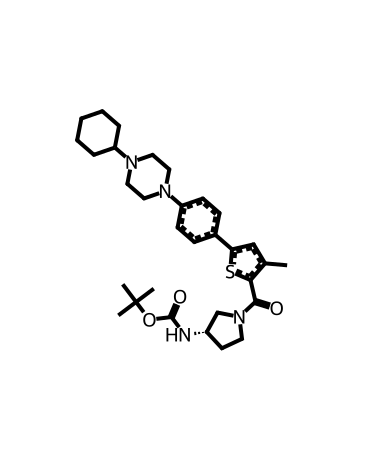 Cc1cc(-c2ccc(N3CCN(C4CCCCC4)CC3)cc2)sc1C(=O)N1CC[C@H](NC(=O)OC(C)(C)C)C1